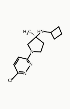 C[C@]1(NC2CCC2)CCN(c2ccc(Cl)nn2)C1